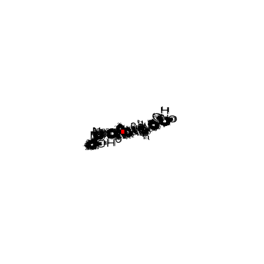 O=C1CC[C@H](c2ccc(N3C[C@H]4CN(CC(=O)N5CCC6(CC5)CN(C(=O)C5(c7ccccc7)CCN(c7cnnc(-c8ccccc8O)c7)CC5)C6)C[C@@H]4C3)cc2)C(=O)N1